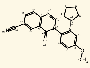 COc1ccc(-n2c([C@@H]3CCCN3)nc3ccc(C#N)cc3c2=O)cc1